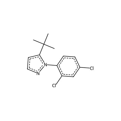 CC(C)(C)c1ccnn1-c1ccc(Cl)cc1Cl